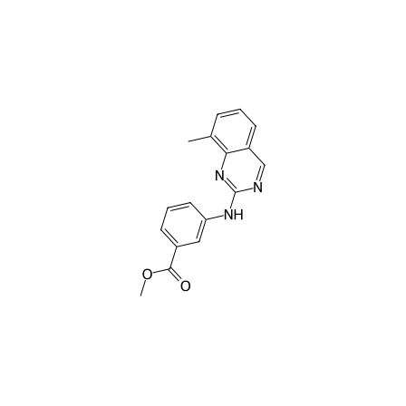 COC(=O)c1cccc(Nc2ncc3cccc(C)c3n2)c1